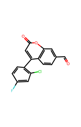 O=Cc1ccc2c(-c3ccc(F)cc3Cl)cc(=O)oc2c1